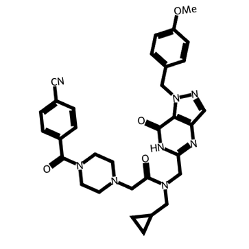 COc1ccc(Cn2ncc3nc(CN(CC4CC4)C(=O)CN4CCN(C(=O)c5ccc(C#N)cc5)CC4)[nH]c(=O)c32)cc1